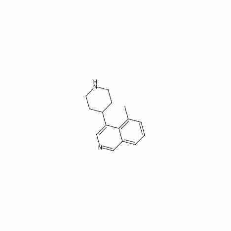 Cc1cccc2cncc(C3CCNCC3)c12